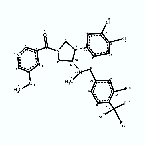 COc1cncc(C(=O)N2C[C@H](c3ccc(Cl)c(Cl)c3)[C@H](N(C)Cc3ccc(C(F)(F)F)c(F)c3)C2)n1